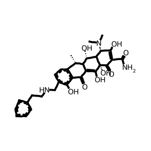 C[C@H]1c2ccc(CNCCc3ccccc3)c(O)c2C(=O)C2=C(O)[C@]3(O)C(=O)C(C(N)=O)=C(O)[C@@H](N(C)C)C3[C@@H](O)C21